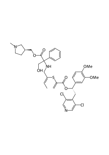 C=C(S/C(=C\C)CNC(CO)(C(=O)OC[C@H]1CCN(C)C1)c1ccccc1)C(=O)O[C@@H](Cc1c(Cl)cncc1Cl)c1ccc(OC)c(OC)c1